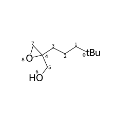 CC(C)(C)CCCC1(CO)CO1